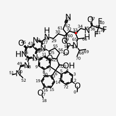 COc1ccc(C(c2ccccc2)(c2ccc(OC)cc2)C(O)[C@H]2O[C@@H](n3c(NCCCCCCNC(=O)C(F)(F)F)nc4c(=O)[nH]c(N=CN(C)C)nc43)C[C@@H]2OP(OCCC#N)N(C(C)C)C(C)C)cc1